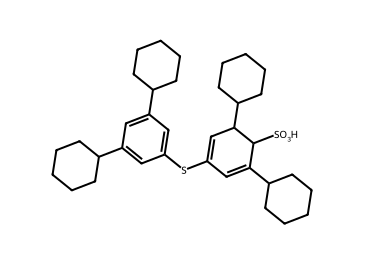 O=S(=O)(O)C1C(C2CCCCC2)=CC(Sc2cc(C3CCCCC3)cc(C3CCCCC3)c2)=CC1C1CCCCC1